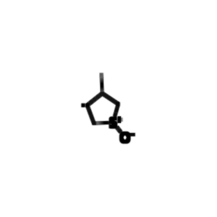 CC1[CH]C[S+]([O-])C1